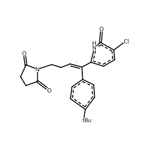 CC(C)(C)c1ccc(/C(=C\CCN2C(=O)CCC2=O)c2ccc(Cl)c(=O)[nH]2)cc1